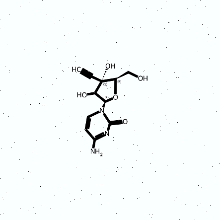 C#C[C@]1(O)C(O)[C@H](n2ccc(N)nc2=O)O[C@@H]1CO